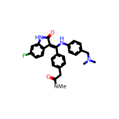 CNC(=O)Cc1ccc(/C(Nc2ccc(CN(C)C)cc2)=C2/C(=O)Nc3cc(F)ccc32)cc1